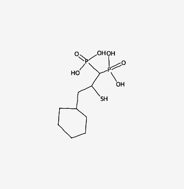 O=P(O)(O)C(C(S)CC1CCCCC1)P(=O)(O)O